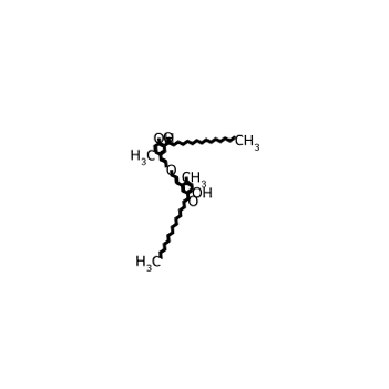 CCCCCCCCCCCCCCCC(=O)c1cc(C=CCOCC=Cc2cc(C(=O)CCCCCCCCCCCCCCC)c(O)cc2C)c(C)cc1O